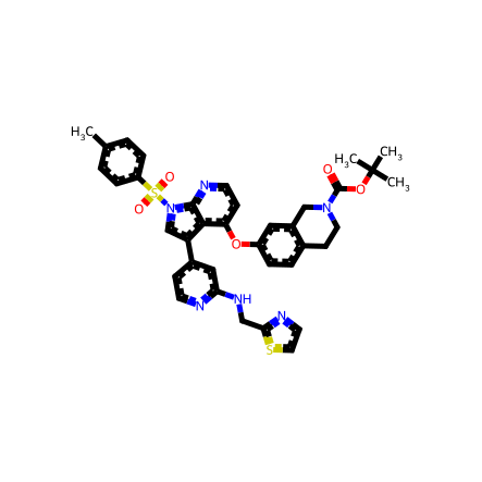 Cc1ccc(S(=O)(=O)n2cc(-c3ccnc(NCc4nccs4)c3)c3c(Oc4ccc5c(c4)CN(C(=O)OC(C)(C)C)CC5)ccnc32)cc1